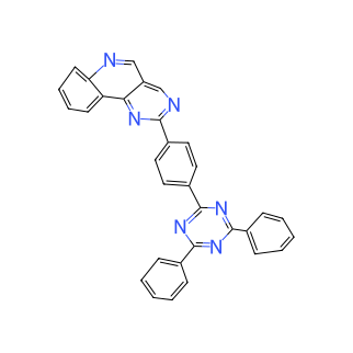 c1ccc(-c2nc(-c3ccccc3)nc(-c3ccc(-c4ncc5cnc6ccccc6c5n4)cc3)n2)cc1